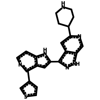 c1cc2[nH]c(-c3n[nH]c4cnc(C5CCNCC5)cc34)cc2c(-c2ccsc2)n1